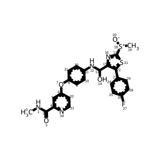 CNC(=O)c1cc(Oc2ccc(NC(O)c3nc([S+](C)[O-])sc3-c3ccc(F)cc3)cc2)ccn1